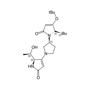 CC[C@H](C)[C@H]1C(OC(C)(C)C)=CC(=O)N1[C@H]1CCN(C2=CC(=O)N[C@H]2[C@@H](C)O)C1